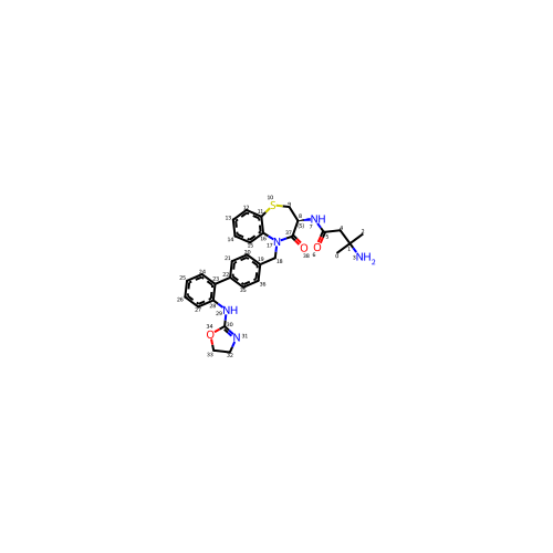 CC(C)(N)CC(=O)N[C@@H]1CSc2ccccc2N(Cc2ccc(-c3ccccc3NC3=NCCO3)cc2)C1=O